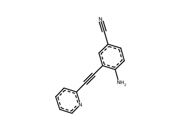 N#Cc1ccc(N)c(C#Cc2ccccn2)c1